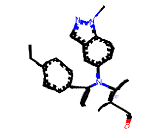 C=C(c1ccc(CC)cc1)N(/C(C)=C(\C)C=O)c1ccc2c(cnn2C)c1